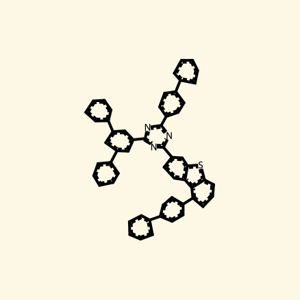 c1ccc(-c2ccc(-c3nc(-c4cc(-c5ccccc5)cc(-c5ccccc5)c4)nc(-c4ccc5c(c4)sc4cccc(-c6ccc(-c7ccccc7)cc6)c45)n3)cc2)cc1